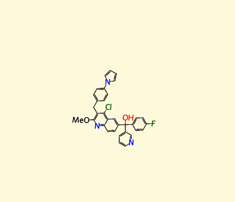 COc1nc2ccc(C(O)(c3ccc(F)cc3)c3cccnc3)cc2c(Cl)c1Cc1ccc(-n2cccc2)cc1